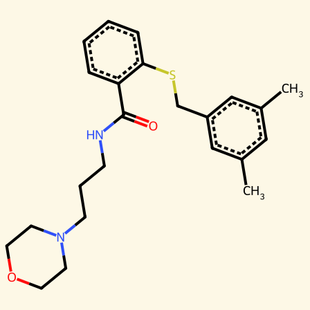 Cc1cc(C)cc(CSc2ccccc2C(=O)NCCCN2CCOCC2)c1